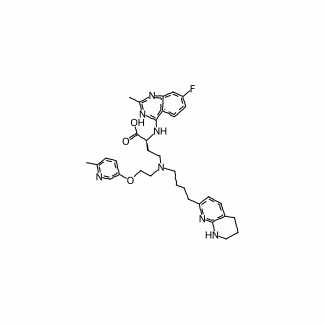 Cc1ccc(OCCN(CCCCc2ccc3c(n2)NCCC3)CC[C@H](Nc2nc(C)nc3cc(F)ccc23)C(=O)O)cn1